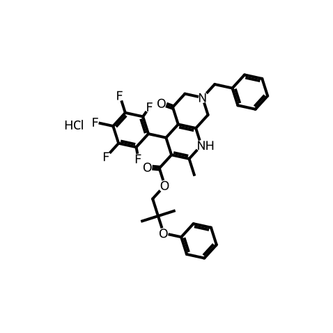 CC1=C(C(=O)OCC(C)(C)Oc2ccccc2)C(c2c(F)c(F)c(F)c(F)c2F)C2=C(CN(Cc3ccccc3)CC2=O)N1.Cl